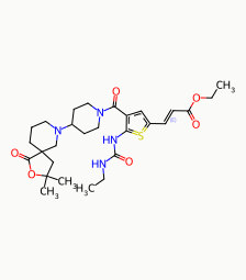 CCNC(=O)Nc1sc(/C=C/C(=O)OCC)cc1C(=O)N1CCC(N2CCCC3(C2)CC(C)(C)OC3=O)CC1